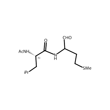 CSCCC(C=O)NC(=O)[C@H](CC(C)C)NC(C)=O